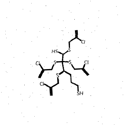 C=C(Cl)CS[C](S)C(SCC(=C)Cl)(SCC(=C)Cl)C(CC[CH]S)SCC(=C)Cl